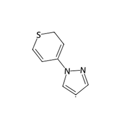 [c]1cnn(C2=CCSC=C2)c1